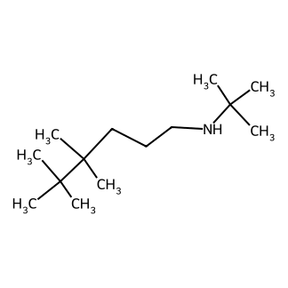 CC(C)(C)NCCCC(C)(C)C(C)(C)C